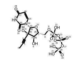 CC#C[C@@]1(O)[C@H](O)[C@@H](COP(=O)(O)OP(=O)(O)OP(=O)(O)O)O[C@H]1n1ccc(=O)[nH]c1=O